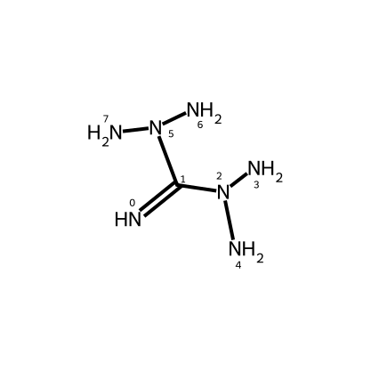 N=C(N(N)N)N(N)N